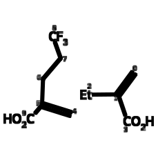 C=C(CC)C(=O)O.C=C(CCC(F)(F)F)C(=O)O